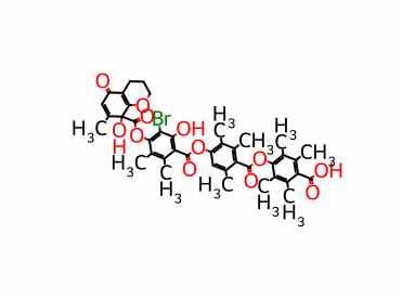 CC1=CC(=O)C2=C(OCCC2)C1(O)C(=O)Oc1c(C)c(C)c(C(=O)Oc2cc(C)c(C(=O)Oc3c(C)c(C)c(C(=O)O)c(C)c3C)c(C)c2C)c(O)c1Br